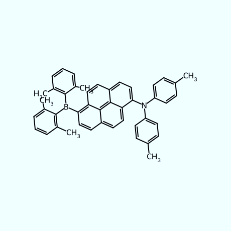 Cc1ccc(N(c2ccc(C)cc2)c2ccc3ccc4c(B(c5c(C)cccc5C)c5c(C)cccc5C)ccc5ccc2c3c54)cc1